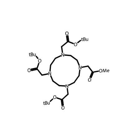 COC(=O)CN1CCN(CC(=O)OC(C)(C)C)CCN(CC(=O)OC(C)(C)C)CCN(CC(=O)OC(C)(C)C)CC1